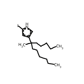 CCCCCCC(C)(CCCCC)c1c[nH]c(I)c1